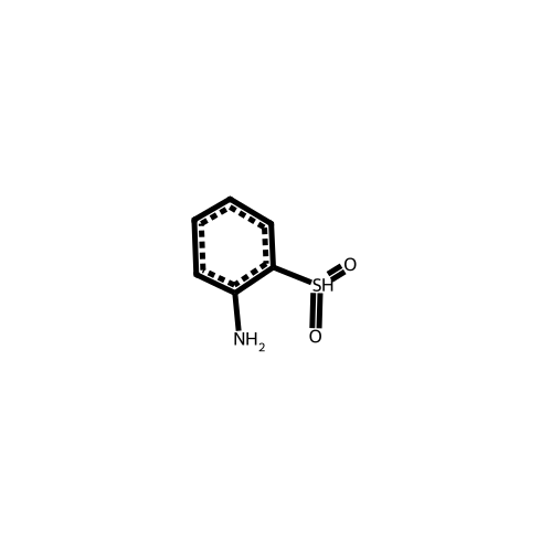 Nc1ccccc1[SH](=O)=O